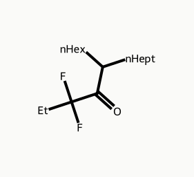 CCCCCCCC(CCCCCC)C(=O)C(F)(F)CC